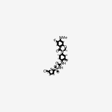 CNc1cc2c(cc1F)C(=O)N(c1ccc(NC(=O)NS(=O)(=O)C3=CCC(Cl)S3)c(F)c1)CO2